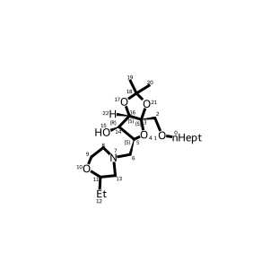 CCCCCCCOC[C@@]12O[C@@H](CN3CCOC(CC)C3)[C@@H](O)[C@@H]1OC(C)(C)O2